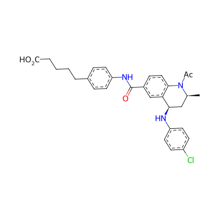 CC(=O)N1c2ccc(C(=O)Nc3ccc(CCCCC(=O)O)cc3)cc2[C@H](Nc2ccc(Cl)cc2)C[C@@H]1C